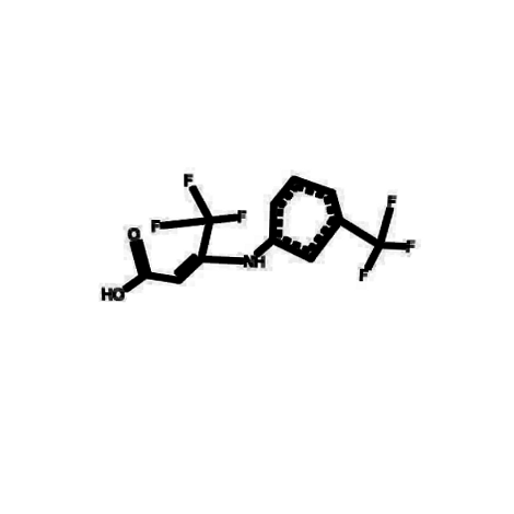 O=C(O)C=C(Nc1cccc(C(F)(F)F)c1)C(F)(F)F